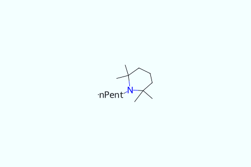 CCCC[CH]N1C(C)(C)CCCC1(C)C